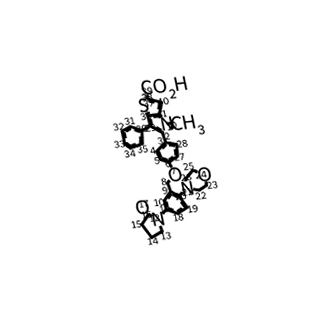 Cn1c(-c2ccc(OCc3cc(N4CCCC4=O)ccc3N3CCOCC3)cc2)c(-c2ccccc2)c2sc(C(=O)O)cc21